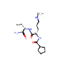 CC(C)C[C@H](NC(=O)[C@H](CCCNC(=O)O)NC(=O)C1CCCC1)C(N)=O